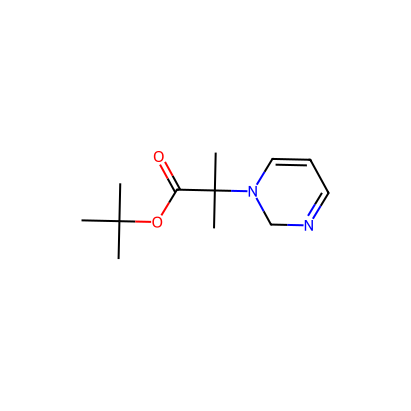 CC(C)(C)OC(=O)C(C)(C)N1C=CC=NC1